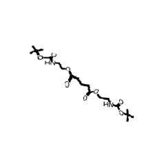 CC(C)(C)OC(=O)NCCOC(=O)CCCC(=O)OCCNC(=O)OC(C)(C)C